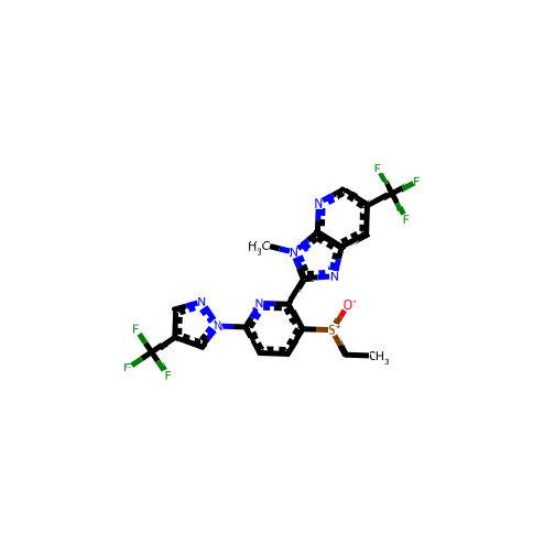 CC[S+]([O-])c1ccc(-n2cc(C(F)(F)F)cn2)nc1-c1nc2cc(C(F)(F)F)cnc2n1C